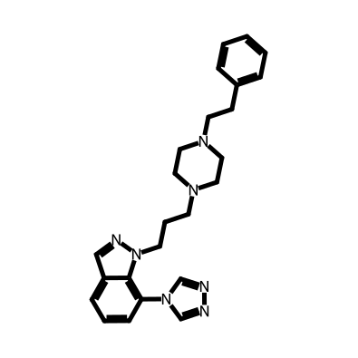 c1ccc(CCN2CCN(CCCn3ncc4cccc(-n5cnnc5)c43)CC2)cc1